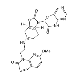 COc1ccc2ccc(=O)n(CCN[C@H]3CC[C@H]4[C@@H](C3)OC(=O)N4C3Oc4cncnc4NC3=O)c2n1